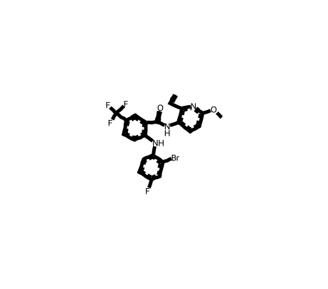 C=Cc1nc(OC)ccc1NC(=O)c1cc(C(F)(F)F)ccc1Nc1ccc(F)cc1Br